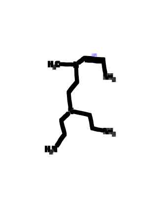 CN(/C=C\N)CCN(CCN)CCN